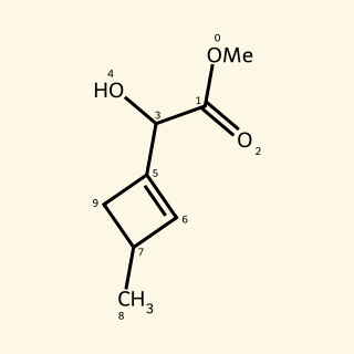 COC(=O)C(O)C1=CC(C)C1